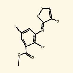 COC(=O)c1cc(F)cc(/N=c2\ssnc2Cl)c1Br